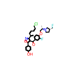 C=C(/C=C\C=C/CCl)c1noc(-c2ccc(O)cc2)c1C(=O)c1ccc(OC[C@H](C)N2CC[C@@H](CF)C2)c(F)c1